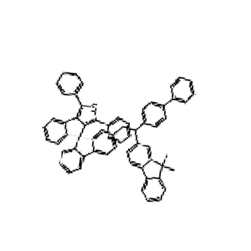 CC1(C)c2ccccc2-c2ccc(C(Cc3ccc4c(c3)C3(c5ccccc5-4)c4ccccc4-c4c(-c5ccccc5)sc(-c5ccccc5)c43)c3ccc(-c4ccccc4)cc3)cc21